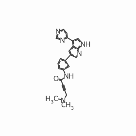 CN(C)CC#CC(=O)Nc1cccc(-c2cnc3[nH]cc(-c4ccncn4)c3c2)c1